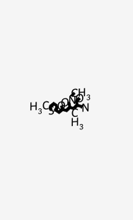 CCN1C(=O)C(C#N)=C(C)/C(=C/c2cc3sc(C)cc3o2)C1=O